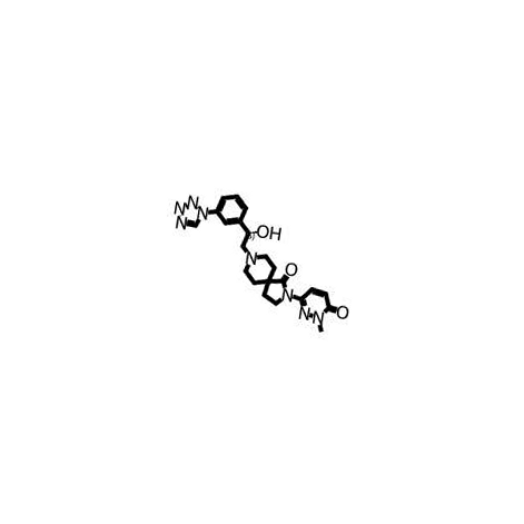 Cn1nc(N2CCC3(CCN(C[C@@H](O)c4cccc(-n5cnnn5)c4)CC3)C2=O)ccc1=O